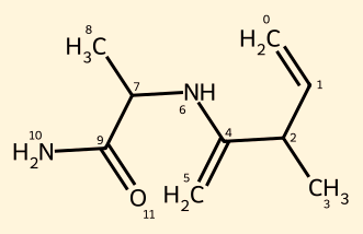 C=CC(C)C(=C)NC(C)C(N)=O